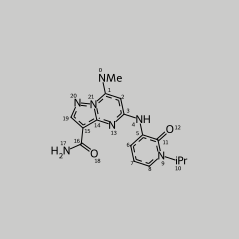 CNc1cc(Nc2cccn(C(C)C)c2=O)nc2c(C(N)=O)cnn12